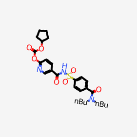 CCCCN(CCCC)C(=O)c1ccc(S(=O)(=O)NC(=O)c2ccc(OC(=O)OC3CCCC3)nc2)cc1